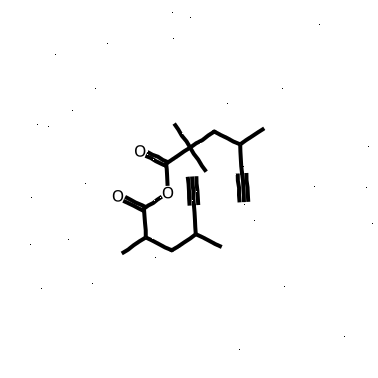 C#CC(C)CC(C)C(=O)OC(=O)C(C)(C)CC(C)C#C